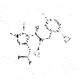 Cc1ccc(C2CC2)c(CN(C(=O)c2c(CC(F)F)nn(C)c2F)C2CC2)c1